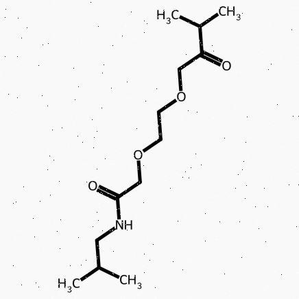 CC(C)CNC(=O)COCCOCC(=O)C(C)C